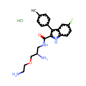 Cl.N#Cc1ccc(-c2c(C(=O)NC[C@@H](N)COCCN)[nH]c3ccc(F)cc23)cc1